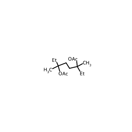 CCC(C)(CCC(C)(CC)OC(C)=O)OC(C)=O